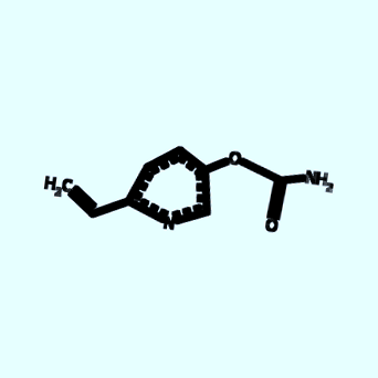 C=Cc1ccc(OC(N)=O)cn1